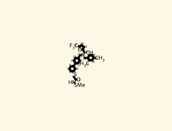 CSNC(=O)CSc1cccc(-c2ccc(CN(Cc3ccc(C(F)(F)F)o3)Cc3c(C)cc(C)cc3C)cc2)c1